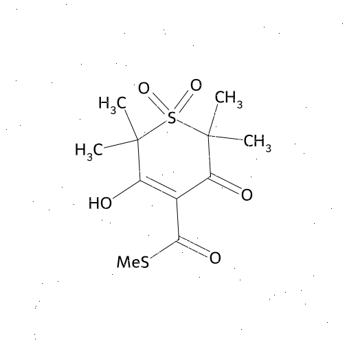 CSC(=O)C1=C(O)C(C)(C)S(=O)(=O)C(C)(C)C1=O